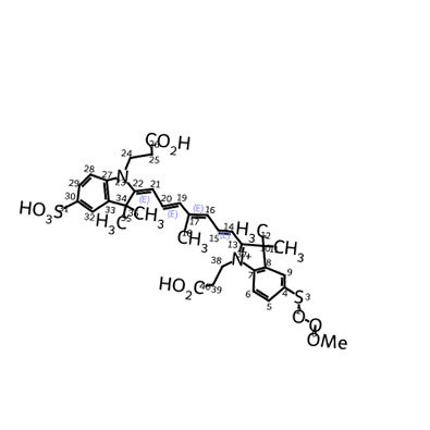 COOOSc1ccc2c(c1)C(C)(C)C(/C=C/C=C(C)/C=C/C=C1/N(CCC(=O)O)c3ccc(S(=O)(=O)O)cc3C1(C)C)=[N+]2CCC(=O)O